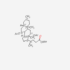 COC(=O)CC[C@@H](C)[C@H]1CC[C@H]2C3C(C[C@H](OC(C)=O)[C@]12C)[C@@]1(C)CC[C@@H](C)C[C@H]1C[C@H]3OC(C)=O